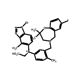 CCn1nnc2c(C)c([C@H](CC(=O)O)c3ccc(C)c(CN4Cc5cc(F)ccc5OC(C)(C)C4)c3)ccc21